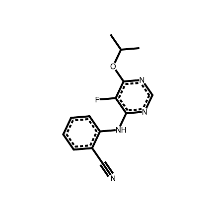 CC(C)Oc1ncnc(Nc2ccccc2C#N)c1F